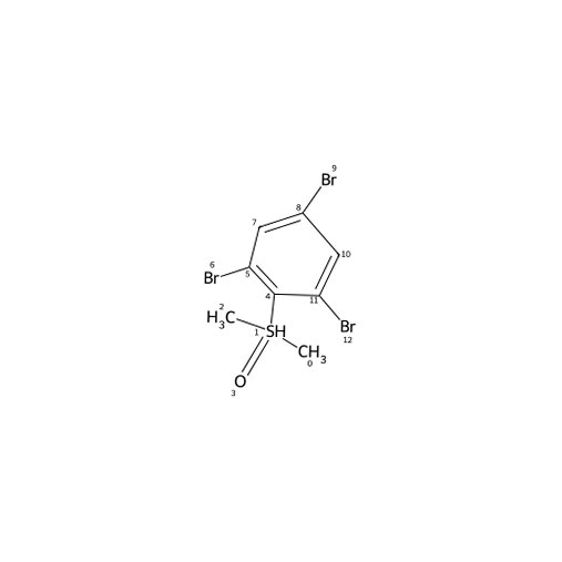 C[SH](C)(=O)c1c(Br)cc(Br)cc1Br